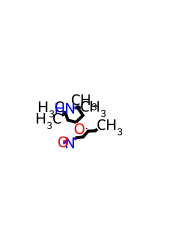 CC1(C)CC([O])CC(C)(C)N1.CCCCCN=O